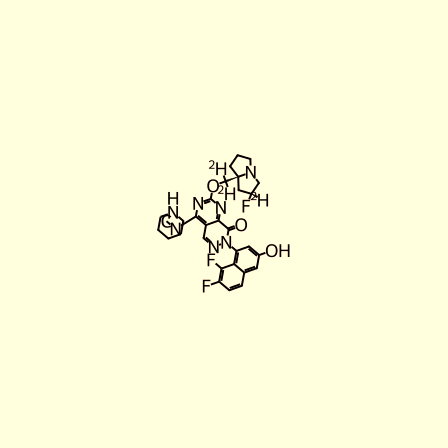 [2H]C([2H])(Oc1nc(N2CC3CCC2CN3)c2cnn(-c3cc(O)cc4ccc(F)c(F)c34)c(=O)c2n1)[C@@]12CCCN1C[C@]([2H])(F)C2